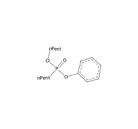 CCCCCOP(=O)(CCCCC)Oc1ccccc1